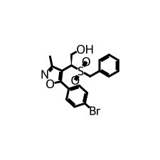 Cc1noc(-c2ccc(Br)cc2)c1[C@@H](CO)S(=O)(=O)Cc1ccccc1